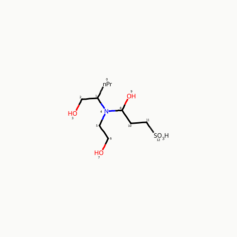 CCCC(CO)N(CCO)C(O)CCS(=O)(=O)O